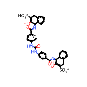 O=C(Nc1ccc(C(=O)N=C2C(O)=C(S(=O)(=O)O)Cc3ccccc32)cc1)Nc1ccc(C(=O)N=C2C(O)=C(S(=O)(=O)O)Cc3ccccc32)cc1